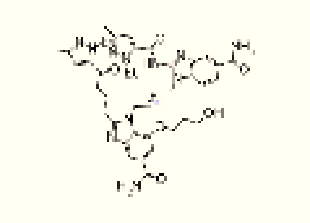 CCn1nc(C)cc1C(=O)CCCc1nc2cc(C(N)=O)cc(OCCCO)c2n1C/C=C/Cn1c(NC(=O)c2cc(C)nn2CC)nc2cc(C(N)=O)ccc21